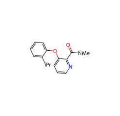 CNC(=O)c1ncccc1Oc1ccccc1C(C)C